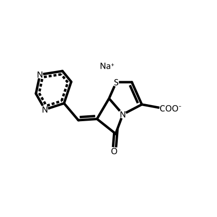 O=C([O-])C1=CSC2C(=Cc3ccncn3)C(=O)N12.[Na+]